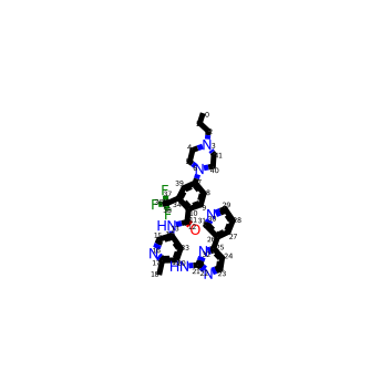 CCCN1CCN(c2ccc(C(=O)Nc3cnc(C)c(Nc4nccc(-c5cccnc5)n4)c3)c(C(F)(F)F)c2)CC1